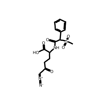 CS(=O)(=O)C(C(=O)NC(CCC(=O)C=[N+]=[N-])C(=O)O)c1ccccc1